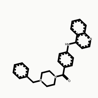 O=C(c1ccc(Nc2ccnc3ccccc23)cc1)N1CCN(Cc2ccccc2)CC1